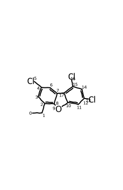 CCc1cc(Cl)cc2c1oc1cc(Cl)cc(Cl)c12